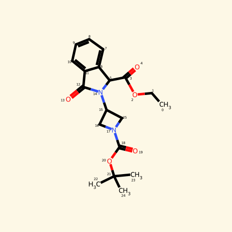 CCOC(=O)C1c2ccccc2C(=O)N1C1CN(C(=O)OC(C)(C)C)C1